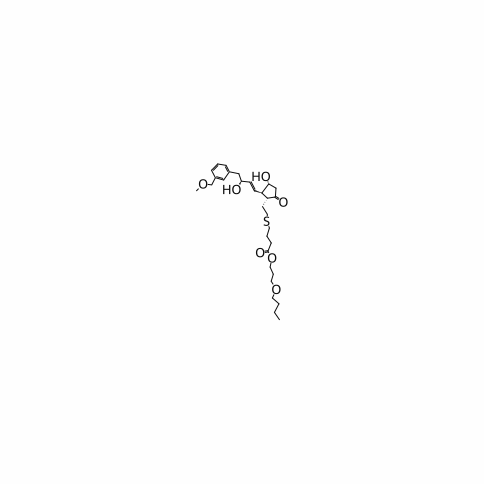 CCCCOCCCOC(=O)CCCSCC[C@H]1C(=O)C[C@@H](O)[C@@H]1C=C[C@@H](O)Cc1cccc(COC)c1